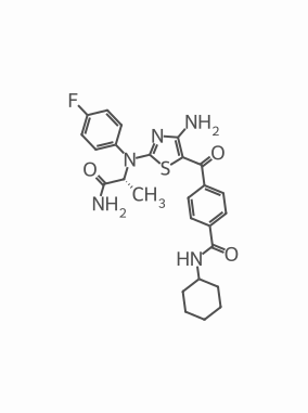 C[C@H](C(N)=O)N(c1ccc(F)cc1)c1nc(N)c(C(=O)c2ccc(C(=O)NC3CCCCC3)cc2)s1